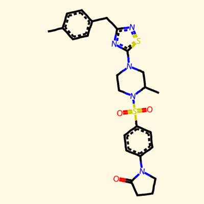 Cc1ccc(Cc2nsc(N3CCN(S(=O)(=O)c4ccc(N5CCCC5=O)cc4)C(C)C3)n2)cc1